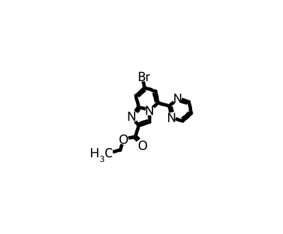 CCOC(=O)c1cn2c(-c3ncccn3)cc(Br)cc2n1